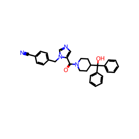 N#Cc1ccc(Cn2cncc2C(=O)N2CCC(C(O)(c3ccccc3)c3ccccc3)CC2)cc1